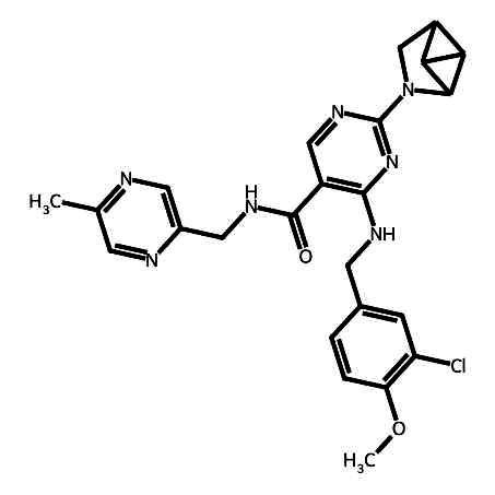 COc1ccc(CNc2nc(N3CC4C5C4C53)ncc2C(=O)NCc2cnc(C)cn2)cc1Cl